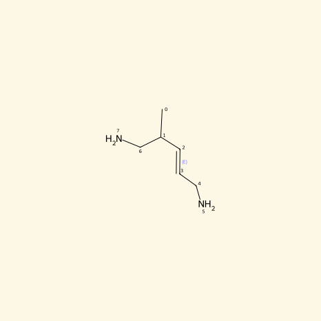 CC(/C=C/CN)CN